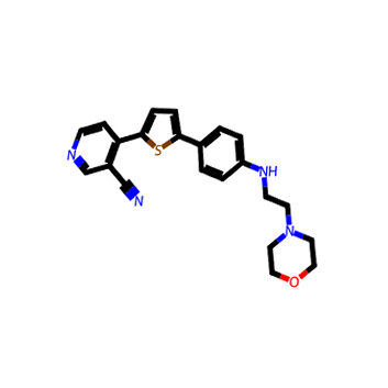 N#Cc1cnccc1-c1ccc(-c2ccc(NCCN3CCOCC3)cc2)s1